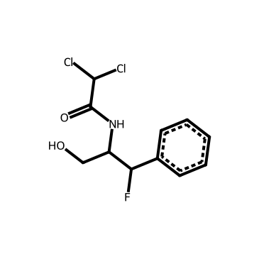 O=C(NC(CO)C(F)c1ccccc1)C(Cl)Cl